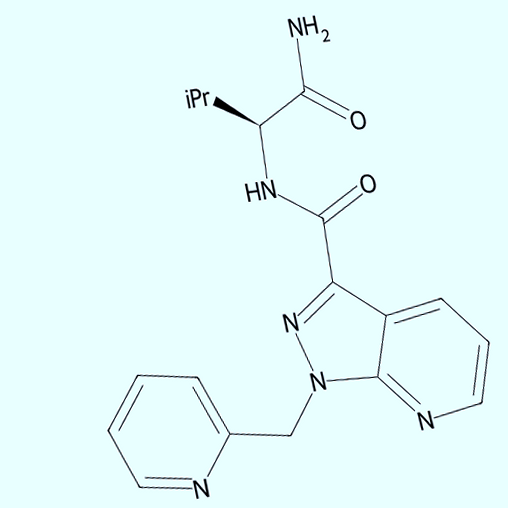 CC(C)[C@H](NC(=O)c1nn(Cc2ccccn2)c2ncccc12)C(N)=O